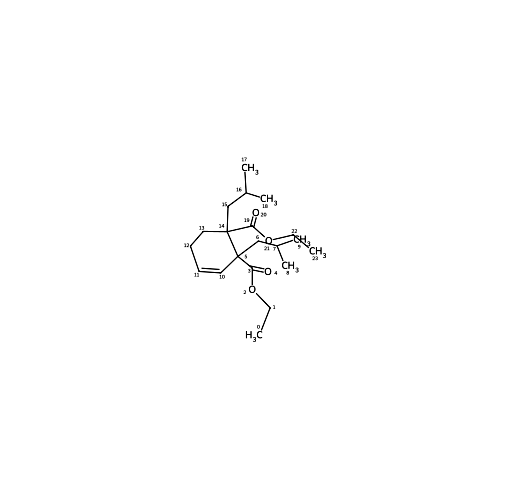 CCOC(=O)C1(CC(C)C)C=CCCC1(CC(C)C)C(=O)OCC